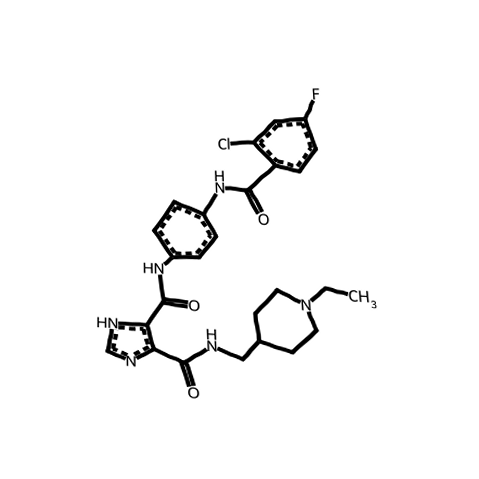 CCN1CCC(CNC(=O)c2nc[nH]c2C(=O)Nc2ccc(NC(=O)c3ccc(F)cc3Cl)cc2)CC1